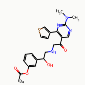 CN(C)c1ncc(C(=O)CNCC(O)c2cccc(OC(=O)C(C)(C)C)c2)c(-c2ccsc2)n1